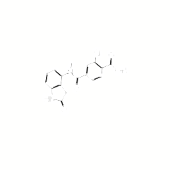 CN(C(=O)c1ccc(C(=O)O)c(Cl)c1)c1cccc2c1CC(=O)N2